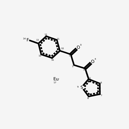 O=C(CC(=O)c1cccs1)c1ccc(F)cc1.[Eu]